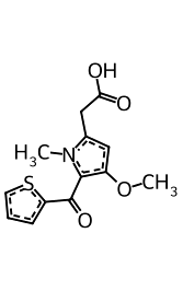 COc1cc(CC(=O)O)n(C)c1C(=O)c1cccs1